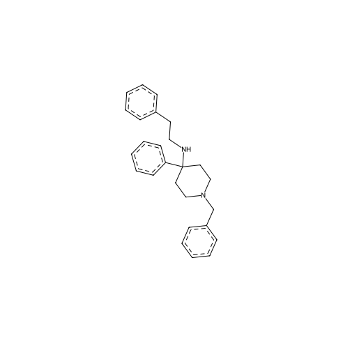 c1ccc(CCNC2(c3ccccc3)CCN(Cc3ccccc3)CC2)cc1